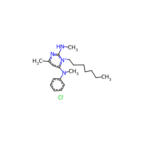 CCCCCCC[n+]1c(N(C)c2ccccc2)cc(C)nc1NC.[Cl-]